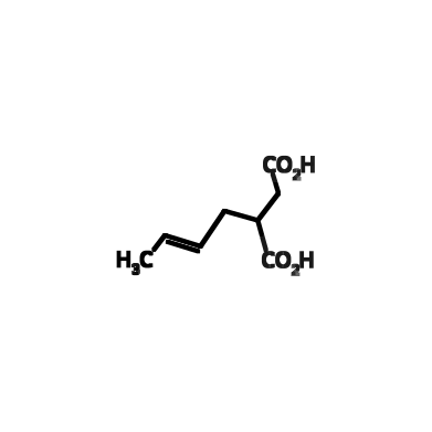 CC=CCC(CC(=O)O)C(=O)O